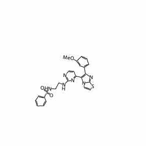 COc1cccc(-c2nc3sccn3c2-c2ccnc(NCCNS(=O)(=O)c3ccccc3)n2)c1